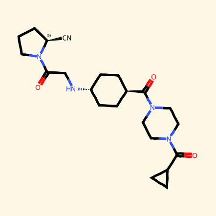 N#C[C@@H]1CCCN1C(=O)CN[C@H]1CC[C@H](C(=O)N2CCN(C(=O)C3CC3)CC2)CC1